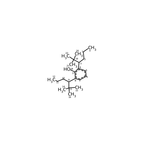 CCCC(c1cccc(C(CCC)C(C)(C)C)c1O)C(C)(C)C